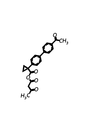 CC(=O)CC(=O)OC(=O)C1(c2ccc(-c3ccc(C(C)=O)cc3)cc2)CC1